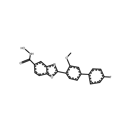 COc1cc(-c2ccc(F)cc2)ccc1-c1nc2cc(C(=O)NO)ccc2o1